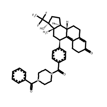 C[C@]12C[C@H](c3ccc(C(=O)N4CCN(C(=O)c5ccccc5)CC4)cc3)C3=C4CCC(=O)C=C4CC[C@H]3[C@@H]1CC[C@]2(O)C(F)(F)C(F)(F)F